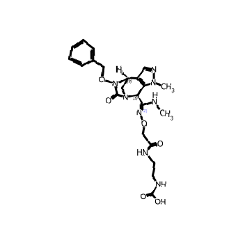 CN/C(=N\OCC(=O)NCCNC(=O)O)[C@@H]1c2c(cnn2C)[C@@H]2CN1C(=O)N2OCc1ccccc1